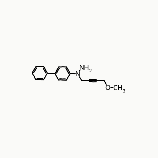 COCC#CCN(N)c1ccc(-c2ccccc2)cc1